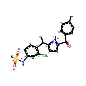 Cc1ccc(C(=O)c2ccc(C(C)c3ccc(NS(C)(=O)=O)cc3Cl)[nH]2)cc1